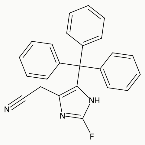 N#CCc1nc(F)[nH]c1C(c1ccccc1)(c1ccccc1)c1ccccc1